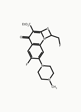 CCOC(=O)c1c2n(c3cc(N4CCN(C)CC4)c(F)cc3c1=O)C(CF)S2